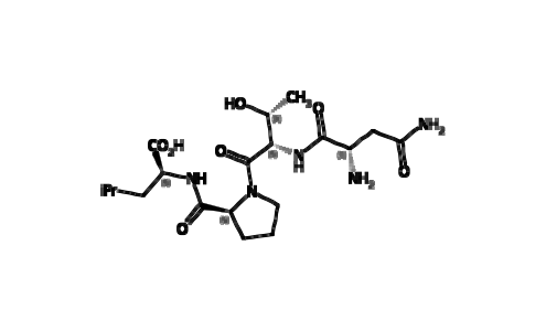 CC(C)C[C@H](NC(=O)[C@@H]1CCCN1C(=O)[C@@H](NC(=O)[C@@H](N)CC(N)=O)[C@@H](C)O)C(=O)O